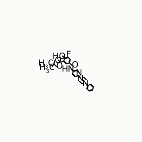 CC1(C)COC(c2cc(C(=O)Nc3ccc(N4CCN(c5ccccc5)CC4)nc3)cc(F)c2O)OC1